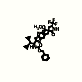 COC(=O)C1(Cc2cnn3cc([C@@H](NC(=O)OCc4ccccc4)C(C4CC4)C4CC4)nc3c2)C[C@@H](C(F)(F)F)NC1=O